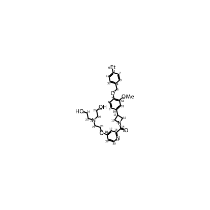 CCc1ccc(COc2ccc(C3CN(C(=O)c4cc(OCCN(CCO)CCO)ccn4)C3)cc2OC)cc1